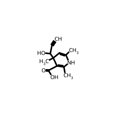 C#CC(O)C1(C)C=C(C)NC(C)=C1C(=O)O